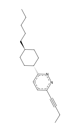 CCC#Cc1ccc([C@H]2CC[C@H](CCCCC)CC2)nn1